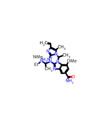 C=Cc1nc(N)n(C(C)n2c(NC(C)N(CC)NC)nc3cc(C(N)=O)cc(OC)c32)c1C